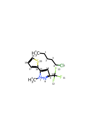 CCCCCCl.Cn1nc(C(F)(F)F)cc1-c1cccs1